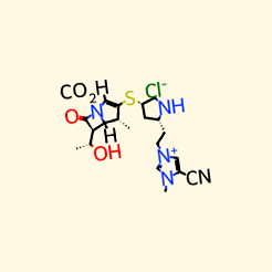 C[C@@H](O)[C@H]1C(=O)N2C(C(=O)O)=C(S[C@@H]3CN[C@H](CC[n+]4cc(C#N)n(C)c4)C3)[C@H](C)[C@H]12.[Cl-]